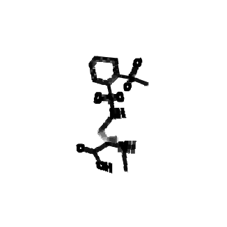 CN[C@@H](CNS(=O)(=O)c1ccccc1S(C)(=O)=O)C(=O)O